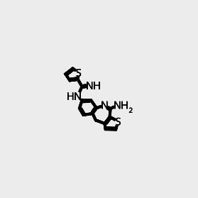 N=C(Nc1ccc2c(c1)N=C(N)c1sccc1C2)c1cccs1